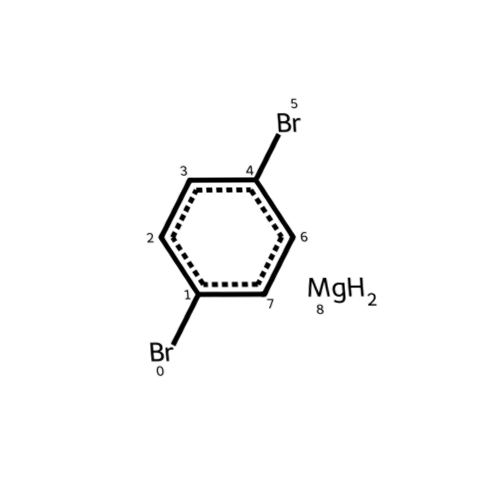 Brc1ccc(Br)cc1.[MgH2]